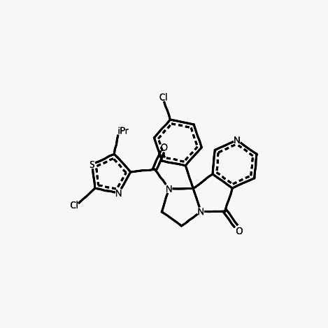 CC(C)c1sc(Cl)nc1C(=O)N1CCN2C(=O)c3ccncc3C21c1ccc(Cl)cc1